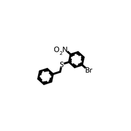 O=[N+]([O-])c1ccc(Br)cc1SCc1ccccc1